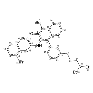 CCCCn1c(=O)c(NC(=O)Nc2c(C(C)C)cccc2C(C)C)c(-c2cccc(CCCN(CC)CC)c2)c2cccnc21